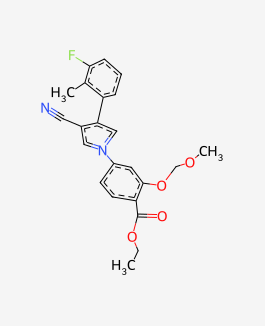 CCOC(=O)c1ccc(-n2cc(C#N)c(-c3cccc(F)c3C)c2)cc1OCOC